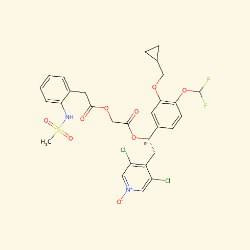 CS(=O)(=O)Nc1ccccc1CC(=O)OCC(=O)O[C@@H](Cc1c(Cl)c[n+]([O-])cc1Cl)c1ccc(OC(F)F)c(OCC2CC2)c1